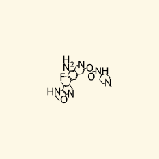 Cc1c(-c2cc3cc(OC(=O)NC4CCN(C)CC4)ncc3c(N)c2F)cnc2c1NCCO2